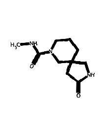 CNC(=O)N1CCCC2(CNC(=O)C2)C1